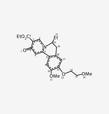 CCOC(=O)c1cn2c(cc1=O)-c1cc(OC)c(OCCOC)cc1CC2CC